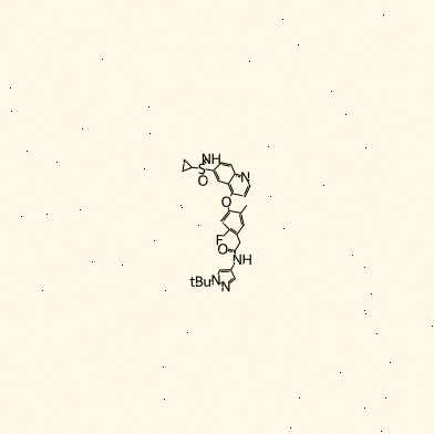 Cc1cc(CC(=O)Nc2cnn(C(C)(C)C)c2)c(F)cc1Oc1ccnc2ccc(S(=N)(=O)C3CC3)cc12